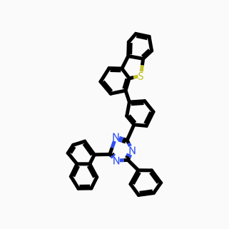 c1ccc(-c2nc(-c3cccc(-c4cccc5c4sc4ccccc45)c3)nc(-c3cccc4ccccc34)n2)cc1